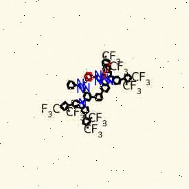 FC(F)(F)c1ccc(-c2ccc3c(c2)c2cc(-c4ccc(C(F)(F)F)cc4C(F)(F)F)ccc2n3-c2cc(-c3cccc(-c4ccc(-n5c6ccc(-c7ccc(C(F)(F)F)cc7C(F)(F)F)cc6c6cc(-c7ccc(C(F)(F)F)cc7C(F)(F)F)ccc65)c(-c5nc(-c6ccccc6)nc(-c6ccccc6)n5)c4)c3)cc(-c3nc(-c4ccccc4)nc(-c4ccccc4)n3)c2)c(C(F)(F)F)c1